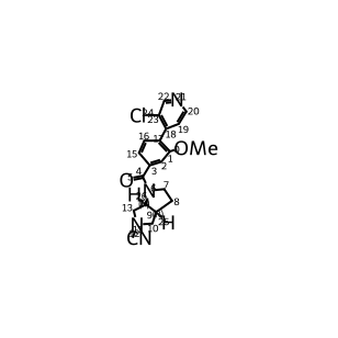 COc1cc(C(=O)N2CC[C@@H]3CN(C#N)C[C@@H]32)ccc1-c1ccncc1Cl